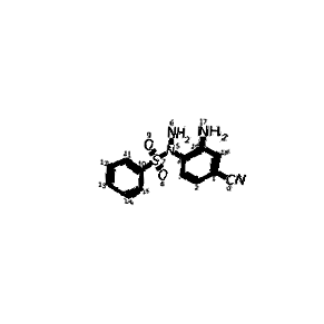 N#Cc1ccc(N(N)S(=O)(=O)c2ccccc2)c(N)c1